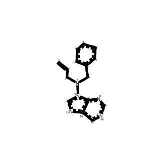 C=CCN(Cc1ccccc1)n1cnc2cncnc21